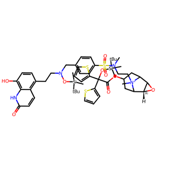 CN(CC[N+]1(C)C2CC(OC(=O)C(O[Si](C)(C)C(C)(C)C)(c3cccs3)c3cccs3)CC1[C@H]1OC21)S(=O)(=O)c1ccc(CN(CCc2ccc(O)c3[nH]c(=O)ccc23)O[Si](C)(C)C(C)(C)C)cc1